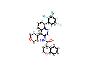 O=C(Nc1cnc2c(-c3cc(F)cc(F)c3F)cccc2c1C1CCOCC1)[C@H]1CCOc2ccccc21